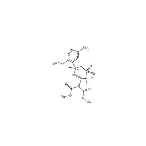 C=CCc1ccc([N+](=O)[O-])cc1[C@]1(C)CS(=O)(=O)C(C)(C)C(N(C(=O)OC(C)(C)C)C(=O)OC(C)(C)C)=N1